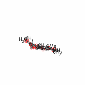 C=C(C)C(=O)OCCCCOc1ccc(C=CC(=O)Oc2ccc3c(c2)C(C)c2cc(OC(=O)C=Cc4ccc(OCCCCOC(=O)C(=C)C)c(OC)c4)ccc2-3)cc1CO